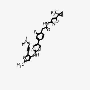 Cn1cc(Nc2ncc(-c3ccc(CC(=O)Nc4cc(C5(C(F)(F)F)CC5)on4)c(F)c3)cn2)c(C#CSP(I)I)n1